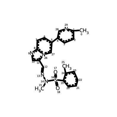 Cc1ccc(-c2ccc3ncc(C=NN(C)S(=O)(=O)c4ccccc4C)n3c2)cn1